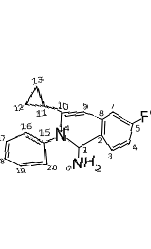 NC1c2ccc(F)cc2C=C(C2CC2)N1c1ccccc1